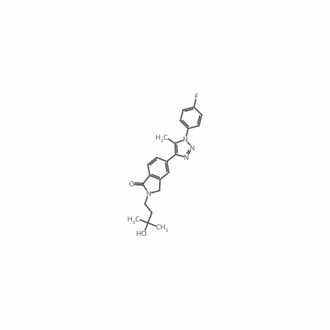 Cc1c(-c2ccc3c(c2)CN(CCC(C)(C)O)C3=O)nnn1-c1ccc(F)cc1